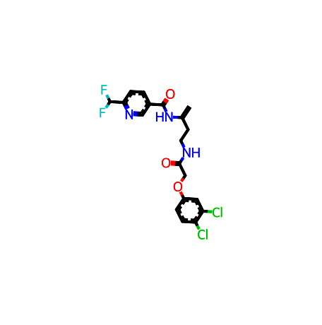 C=C(CCNC(=O)COc1ccc(Cl)c(Cl)c1)NC(=O)c1ccc(C(F)F)nc1